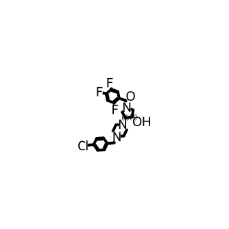 O=C(c1cc(F)c(F)cc1F)N1C[C@@H](O)[C@H](N2CCN(Cc3ccc(Cl)cc3)CC2)C1